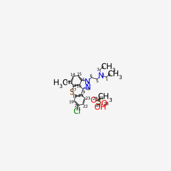 CCN(CC)CCn1nc2c3c(c(C)ccc31)Sc1cc(Cl)ccc1-2.CS(=O)(=O)O